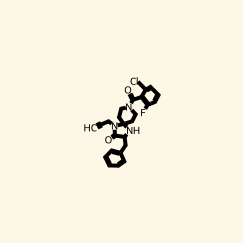 C#CCN1C(=O)C(Cc2ccccc2)NC12CCN(C(=O)c1c(F)cccc1Cl)CC2